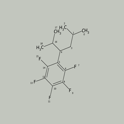 CC(C)CC(c1c(F)c(F)c(F)c(F)c1F)C(C)C